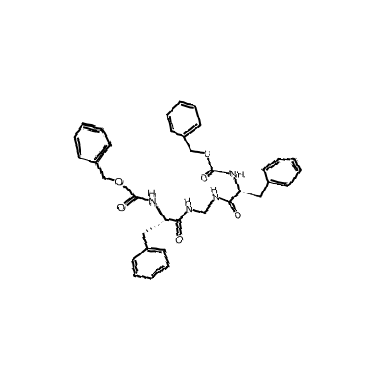 O=C(N[C@@H](Cc1ccccc1)C(=O)NCNC(=O)[C@H](Cc1ccccc1)NC(=O)OCc1ccccc1)OCc1ccccc1